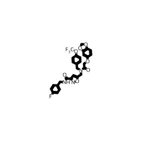 O=C(NCc1ccc(F)cc1)c1cc(CN(Cc2ccc(OC(F)(F)F)cc2)C(=O)COc2ccc3c(c2)OCO3)on1